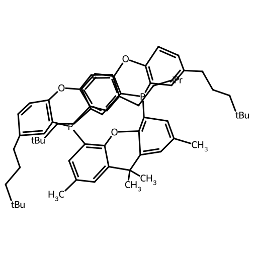 Cc1cc(P2c3cc(CCCC(C)(C)C)ccc3Oc3ccc(CCC(C)C)cc32)c2c(c1)C(C)(C)c1cc(C)cc(P3c4cc(CCCC(C)(C)C)ccc4Oc4ccc(CCC(C)(C)C)cc43)c1O2